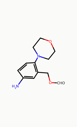 Nc1ccc(N2CCOCC2)c(COC=O)c1